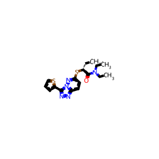 CC[C@@H](Sc1ccc2nnc(-c3cccs3)n2n1)C(=O)N(CC)CC